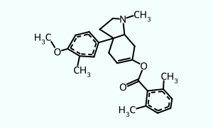 COc1ccc(C23CC=C(OC(=O)c4c(C)cccc4C)CC2N(C)CC3)cc1C